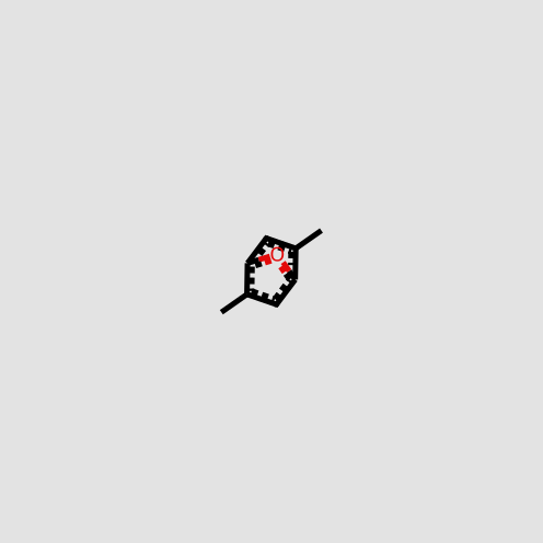 Cc1cc2oc1cc2C